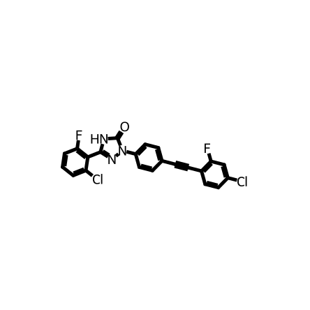 O=c1[nH]c(-c2c(F)cccc2Cl)nn1-c1ccc(C#Cc2ccc(Cl)cc2F)cc1